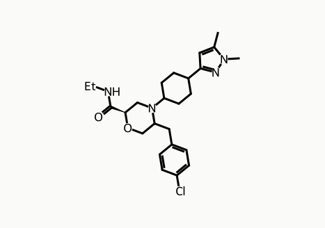 CCNC(=O)[C@H]1CN(C2CCC(c3cc(C)n(C)n3)CC2)C(Cc2ccc(Cl)cc2)CO1